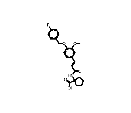 COc1cc(/C=C/C(=O)NC2(C(=O)O)CCCC2)ccc1OCc1ccc(F)cc1